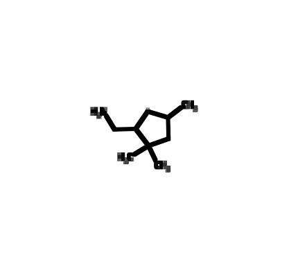 CC1[CH]C(CN)C(C)(C)C1